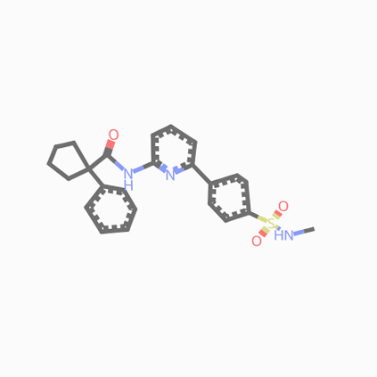 CNS(=O)(=O)c1ccc(-c2cccc(NC(=O)C3(c4ccccc4)CCCC3)n2)cc1